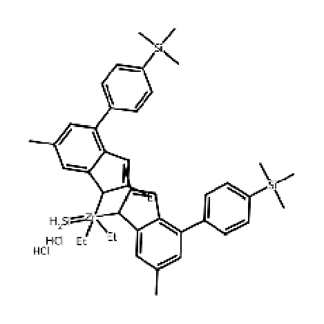 CCC1=Cc2c(-c3ccc([Si](C)(C)C)cc3)cc(C)cc2[CH]1[Zr](=[SiH2])([CH2]C)([CH2]C)[CH]1C(C)=Cc2c(-c3ccc([Si](C)(C)C)cc3)cc(C)cc21.Cl.Cl